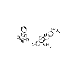 Cc1c(Cc2ccc([N+](=O)[O-])cc2)c(=O)oc2cc(OCCOc3no[n+]([O-])c3S(=O)(=O)c3ccccc3)ccc12